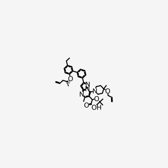 C=CCOC1(C)CCN(c2c(C(OC(C)(C)C)C(=O)O)c(C)nc3cc(-c4cccc(-c5cc(CC)ccc5O[C@@H](C)CC=C)c4)nn23)CC1